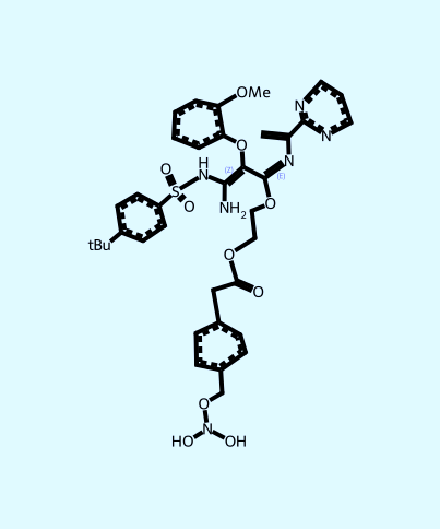 C=C(/N=C(OCCOC(=O)Cc1ccc(CON(O)O)cc1)\C(Oc1ccccc1OC)=C(/N)NS(=O)(=O)c1ccc(C(C)(C)C)cc1)c1ncccn1